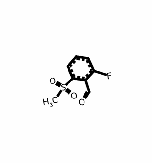 CS(=O)(=O)c1cccc(F)c1C=O